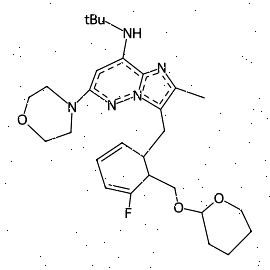 Cc1nc2c(NC(C)(C)C)cc(N3CCOCC3)nn2c1CC1C=CC=C(F)C1COC1CCCCO1